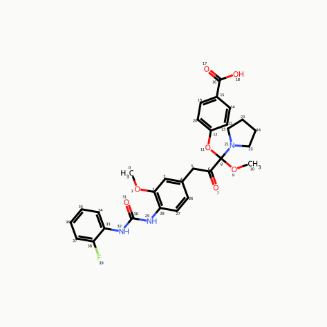 COc1cc(CC(=O)C(OC)(Oc2ccc(C(=O)O)cc2)N2CCCC2)ccc1NC(=O)Nc1ccccc1F